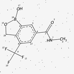 CNC(=O)c1cc2c(c(C(F)(F)F)c1)COB2O